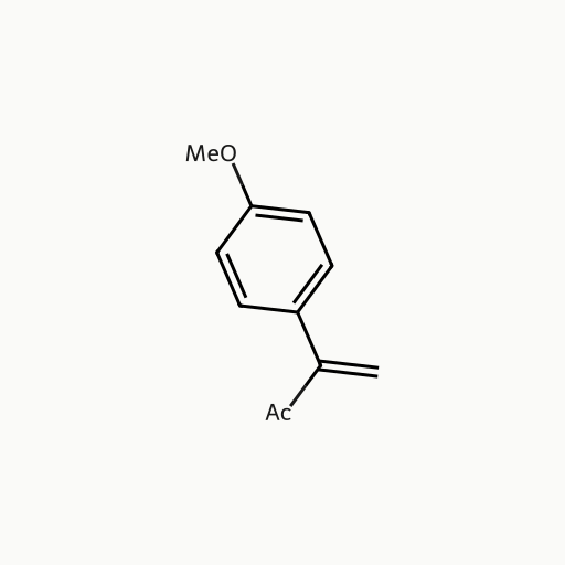 C=C(C(C)=O)c1ccc(OC)cc1